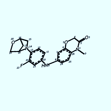 CN1C(=O)COc2cc(Nc3ccc(N4CC5CC4CO5)c(F)c3)ccc21